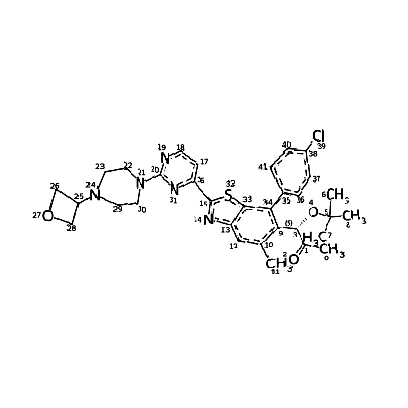 CC(=O)[C@@H](OC(C)(C)C)c1c(C)cc2nc(-c3ccnc(N4CCN(C5COC5)CC4)n3)sc2c1-c1ccc(Cl)cc1